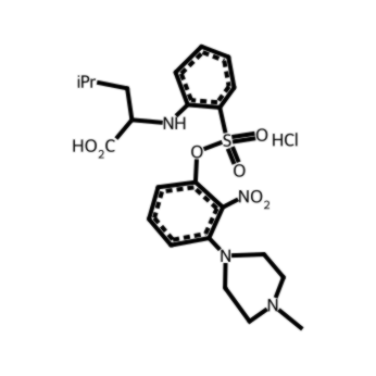 CC(C)CC(Nc1ccccc1S(=O)(=O)Oc1cccc(N2CCN(C)CC2)c1[N+](=O)[O-])C(=O)O.Cl